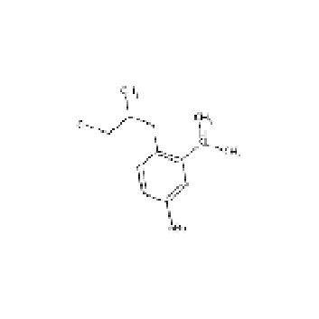 CCCCc1ccc(CC(C)CCl)c([SiH](C)C)c1